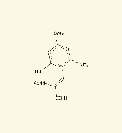 COc1cc(C)c(/C=C(\NC(C)=O)C(=O)O)c(C)c1